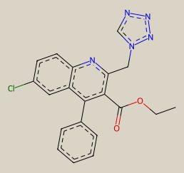 CCOC(=O)c1c(Cn2cnnn2)nc2ccc(Cl)cc2c1-c1ccccc1